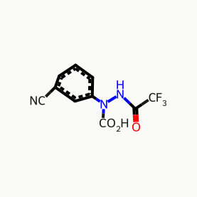 N#Cc1cccc(N(NC(=O)C(F)(F)F)C(=O)O)c1